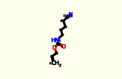 C=CCOC(=O)NCCCCC#N